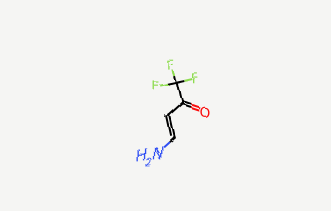 NC=CC(=O)C(F)(F)F